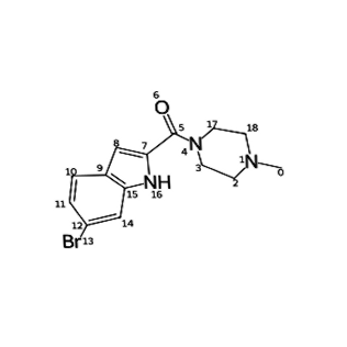 CN1CCN(C(=O)c2cc3ccc(Br)cc3[nH]2)CC1